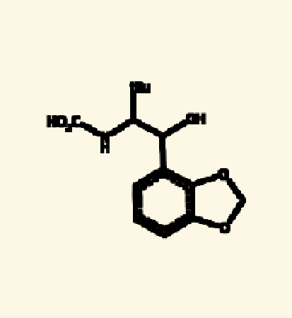 CC(C)(C)C(NC(=O)O)C(O)c1cccc2c1OCO2